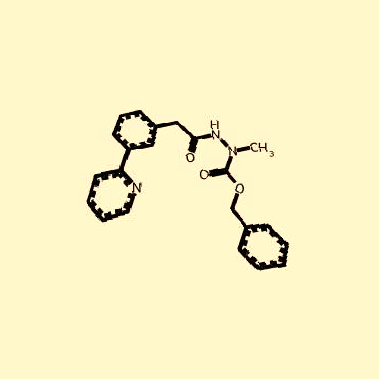 CN(NC(=O)Cc1cccc(-c2ccccn2)c1)C(=O)OCc1ccccc1